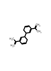 C=C(C)C1=CC(C2C=C(C(=C)C)C=CC2)CC=C1